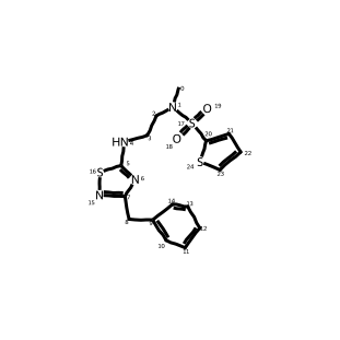 CN(CCNc1nc(Cc2ccccc2)ns1)S(=O)(=O)c1cccs1